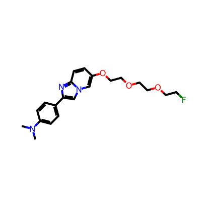 CN(C)c1ccc(-c2cn3cc(OCCOCCOCCF)ccc3n2)cc1